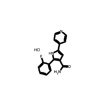 Cl.NC(=O)c1cc(-c2ccncc2)[nH]c1-c1ccccc1F